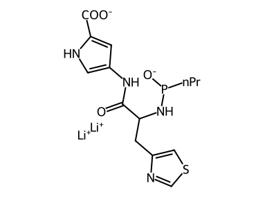 CCCP([O-])NC(Cc1cscn1)C(=O)Nc1c[nH]c(C(=O)[O-])c1.[Li+].[Li+]